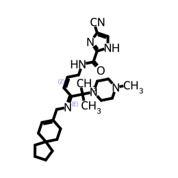 CN1CCN(C(C)(C)C(/C=C\CNC(=O)c2nc(C#N)c[nH]2)=N/CC2=CCC3(CCCC3)CC2)CC1